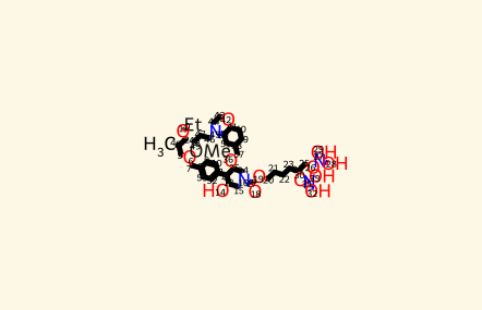 CCOCC(C)COCc1ccc(C2C(O)CN(C(=O)OCCCCC(CON(O)O)ON(O)O)CC2OCC2CCC3OCCN(CCCOC)C3C2)cc1